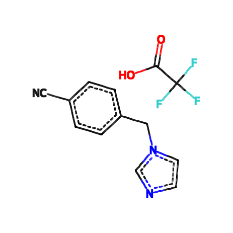 N#Cc1ccc(Cn2ccnc2)cc1.O=C(O)C(F)(F)F